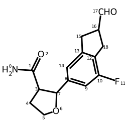 NC(=O)C1CCOC1c1cc(F)c2c(c1)CC(C=O)C2